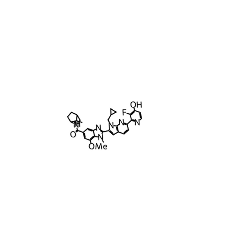 COc1cc(C(=O)N2CC3CCC2[C@@H]3C)cc2nc(-c3cc4ccc(-c5nccc(O)c5F)nc4n3CC3CC3)n(C)c12